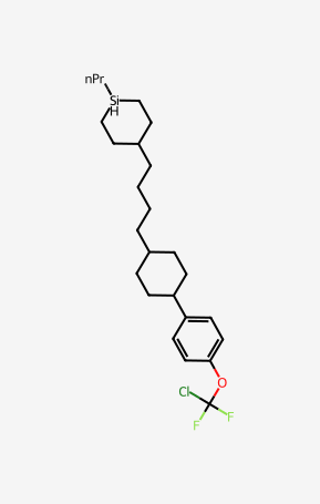 CCC[SiH]1CCC(CCCCC2CCC(c3ccc(OC(F)(F)Cl)cc3)CC2)CC1